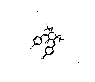 CC1(C(=Cc2ccc(Cl)cc2)C(=O)C(=Cc2ccc(Cl)cc2)C2(C)CC2(F)F)CC1(F)F